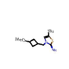 COC1CC(Cn2cc(C(C)(C)C)sc2=N)C1